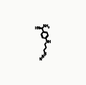 [N-]=[N+]=NCCCNc1ccc(C(=N)N)cc1